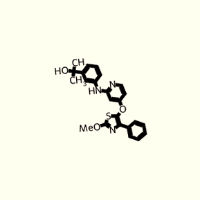 COc1nc(-c2ccccc2)c(Oc2ccnc(Nc3cccc(C(C)(C)O)c3)c2)s1